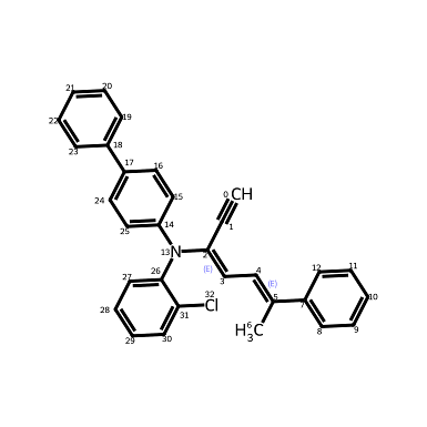 C#C/C(=C\C=C(/C)c1ccccc1)N(c1ccc(-c2ccccc2)cc1)c1ccccc1Cl